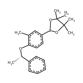 Cc1cc(B2OC(C)(C)C(C)(C)O2)ccc1O[C@@H](C)c1ccccc1